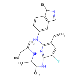 C=Cc1cc(F)c(NC(C)C(C)NC(=C)CC(C)(C)C)nc1Nc1ccc2c(c1)C=NC2CC